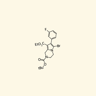 CCOC(=O)c1c(-c2cccc(F)c2)c(Br)n2c1CN(C(=O)OC(C)(C)C)CC2